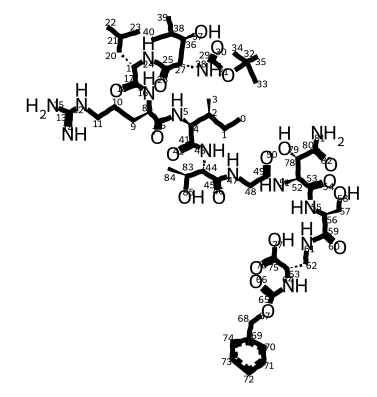 CC[C@H](C)[C@H](NC(=O)[C@@H](CCCNC(=N)N)NC(=O)[C@H](CC(C)C)NC(=O)[C@@H](NC(=O)OC(C)(C)C)[C@H](O)C(C)C)C(=O)N[C@H](C(=O)NCC(=O)N[C@H](C(=O)N[C@@H](CO)C(=O)NC[C@H](NC(=O)OCc1ccccc1)C(=O)O)[C@H](O)C(N)=O)[C@H](C)O